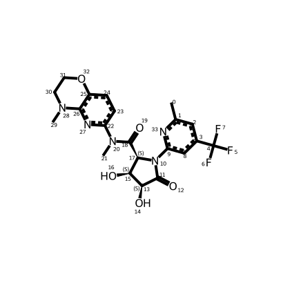 Cc1cc(C(F)(F)F)cc(N2C(=O)[C@@H](O)[C@@H](O)[C@H]2C(=O)N(C)c2ccc3c(n2)N(C)CCO3)n1